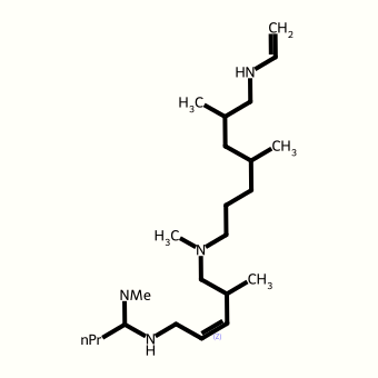 C=CNCC(C)CC(C)CCCN(C)CC(C)/C=C\CNC(CCC)NC